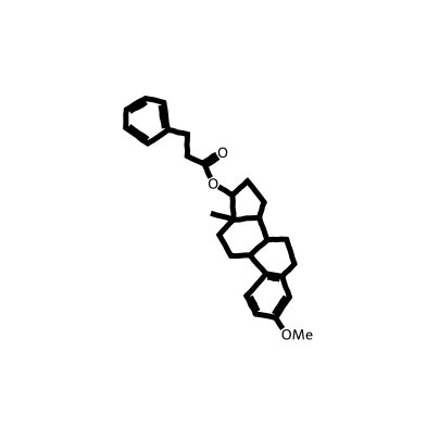 COc1ccc2c(c1)CCC1C2CCC2(C)C(OC(=O)CCc3ccccc3)CCC12